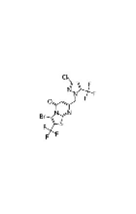 O=c1cc(Cn2nc(Cl)cc2C(F)(F)F)nc2sc(C(F)(F)F)c(Br)n12